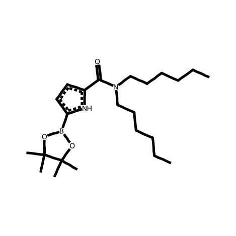 CCCCCCN(CCCCCC)C(=O)c1ccc(B2OC(C)(C)C(C)(C)O2)[nH]1